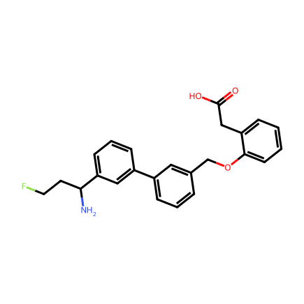 NC(CCF)c1cccc(-c2cccc(COc3ccccc3CC(=O)O)c2)c1